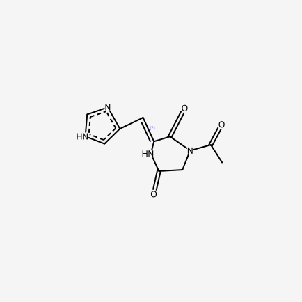 CC(=O)N1CC(=O)N/C(=C\c2c[nH]cn2)C1=O